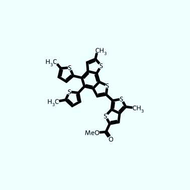 COC(=O)c1cc2c(C)sc(-c3cc4c(-c5ccc(C)s5)c(-c5ccc(C)s5)c5cc(C)sc5c4s3)c2s1